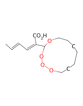 CC=CC=C(C(=O)O)C1OCCCCCCCOOO1